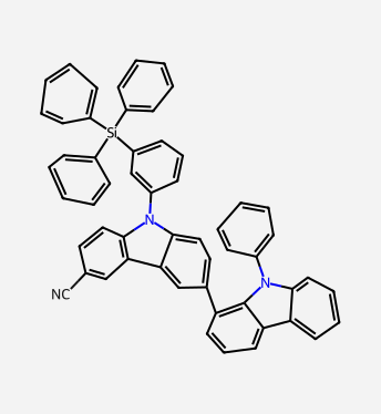 N#Cc1ccc2c(c1)c1cc(-c3cccc4c5ccccc5n(-c5ccccc5)c34)ccc1n2-c1cccc([Si](c2ccccc2)(c2ccccc2)c2ccccc2)c1